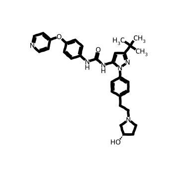 CC(C)(C)c1cc(NC(=O)Nc2ccc(Oc3ccncc3)cc2)n(-c2ccc(CCN3CC[C@H](O)C3)cc2)n1